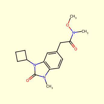 CON(C)C(=O)Cc1ccc2c(c1)n(C1CCC1)c(=O)n2C